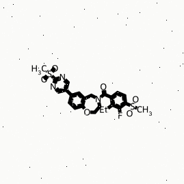 CCc1c(C(=O)N2CCOc3ccc(-c4cnc(S(C)(=O)=O)nc4)cc3C2)ccc(S(C)(=O)=O)c1F